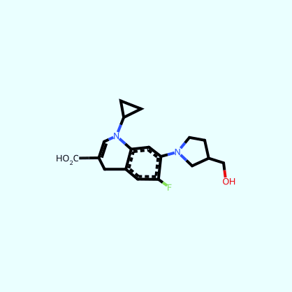 O=C(O)C1=CN(C2CC2)c2cc(N3CCC(CO)C3)c(F)cc2C1